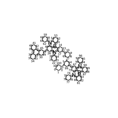 c1ccc(-c2cc(-c3cccc(-c4ccc5c(c4)N(c4ccccc4)c4cc(-c6ccc7c8ccccc8c8ccccc8c7c6)cc6c4B5c4ccccc4N6c4ccccc4)c3)cc(-c3cc4c5c(c3)N(c3ccccc3)c3ccccc3B5c3ccccc3N4c3ccccc3)c2)cc1